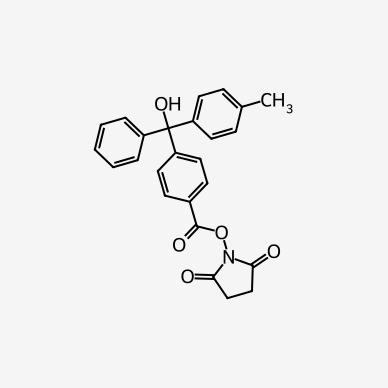 Cc1ccc(C(O)(c2ccccc2)c2ccc(C(=O)ON3C(=O)CCC3=O)cc2)cc1